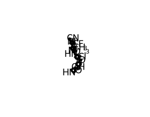 Cn1c(-c2cn(CC#N)nc2C(F)(F)F)cnc1C(=O)Nc1ccc(C(=O)N2CCN(C(=O)C3(O)CCNCC3)CC2)c(Cl)c1